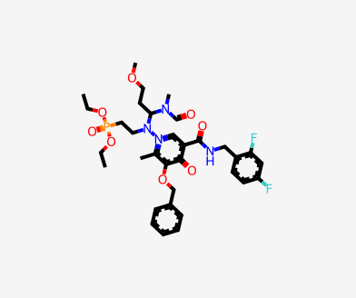 CCOP(=O)(CCN(C(CCOC)N(C)C=O)n1cc(C(=O)NCc2ccc(F)cc2F)c(=O)c(OCc2ccccc2)c1C)OCC